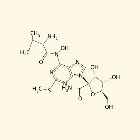 CSc1nc(N(O)C(=O)C(N)C(C)C)c2ncn([C@]3(C(N)=O)O[C@H](CO)[C@@H](O)[C@H]3O)c2n1